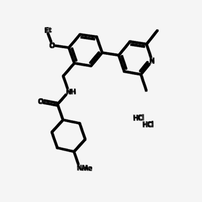 CCOc1ccc(-c2cc(C)nc(C)c2)cc1CNC(=O)C1CCC(NC)CC1.Cl.Cl